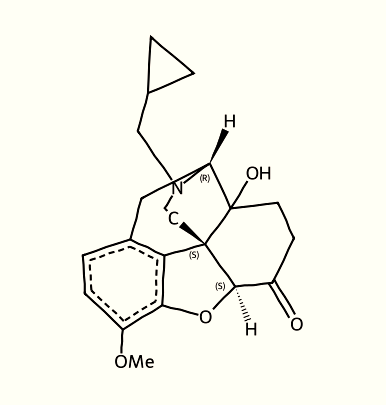 COc1ccc2c3c1O[C@@H]1C(=O)CCC4(O)[C@@H](C2)N(CC2CC2)CC[C@]314